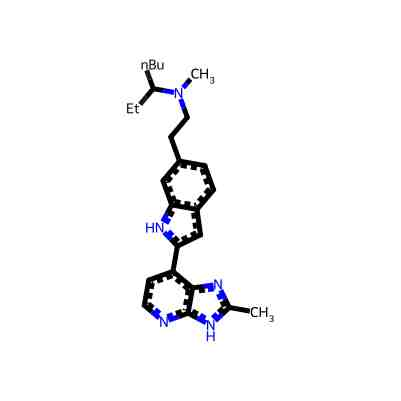 CCCCC(CC)N(C)CCc1ccc2cc(-c3ccnc4[nH]c(C)nc34)[nH]c2c1